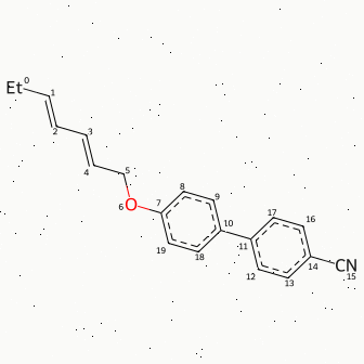 CCC=CC=CCOc1ccc(-c2ccc(C#N)cc2)cc1